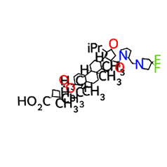 CC(C)C1=C2[C@H]3CC[C@@H]4[C@@]5(C)CC[C@H](OC(=O)[C@H]6C[C@@H](C(=O)O)C6(C)C)C(C)(C)[C@@H]5CC[C@@]4(C)[C@]3(C)CC[C@@]2(C(=O)N2CCCC2CN2CCC(F)(F)CC2)CC1=O